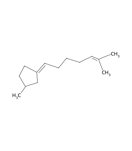 CC(C)=CCCCC=C1CCC(C)C1